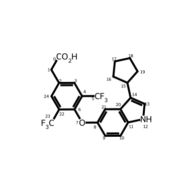 O=C(O)Cc1cc(C(F)(F)F)c(Oc2ccc3[nH]cc(C4CCCC4)c3c2)c(C(F)(F)F)c1